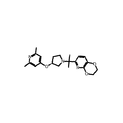 Cc1cc(O[C@H]2CCN(C(C)(C)c3ccc4c(n3)OCCO4)C2)cc(C)n1